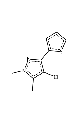 Cc1c(Cl)c(-c2cccs2)nn1C